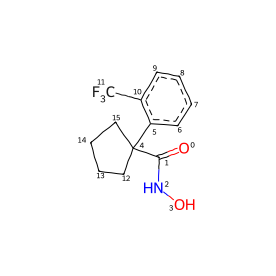 O=C(NO)C1(c2ccccc2C(F)(F)F)CCCC1